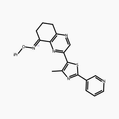 Cc1nc(-c2cccnc2)sc1-c1cnc2c(n1)/C(=N/OC(C)C)CCC2